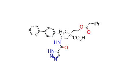 CC(C)CC(=O)OCC[C@](C)(C[C@@H](Cc1ccc(-c2ccccc2)cc1)NC(=O)c1cnn[nH]1)C(=O)O